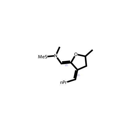 CCC/C=C1/CC(C)O/C1=C\N(C)SC